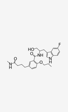 CCCOc1ccc(CCCC(=O)NC)cc1C(=O)NC(CO)Cc1c[nH]c2ccc(F)cc12